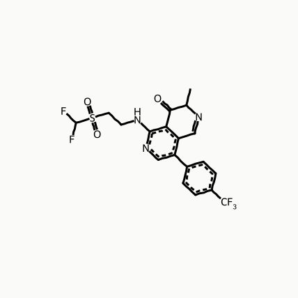 CC1N=Cc2c(-c3ccc(C(F)(F)F)cc3)cnc(NCCS(=O)(=O)C(F)F)c2C1=O